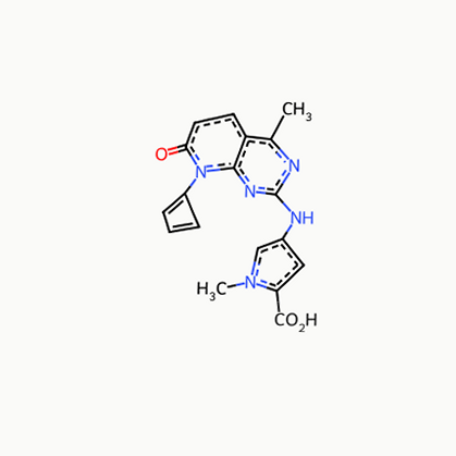 Cc1nc(Nc2cc(C(=O)O)n(C)c2)nc2c1ccc(=O)n2C1=CC=C1